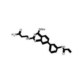 C=CC(=O)Nc1cccc(-c2ccc3c(NC)nc(NCCC(N)=O)nc3c2)c1